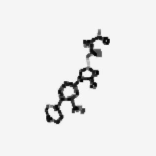 CC(=O)NNC[C@H]1CN(c2ccc(N3CCOCC3)c(P)c2)C(=O)O1